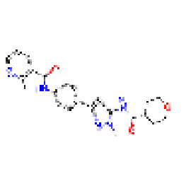 Cc1ncccc1C(=O)Nc1ccc(-c2cc(NC(=O)C3CCOCC3)n(C)n2)cc1